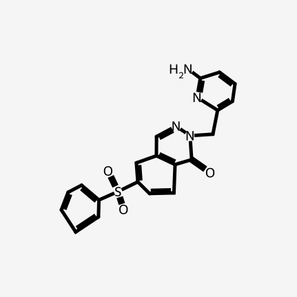 Nc1cccc(Cn2ncc3cc(S(=O)(=O)c4ccccc4)ccc3c2=O)n1